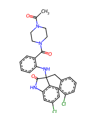 CC(=O)N1CCN(C(=O)c2ccccc2NC2(Cc3cccc(Cl)c3)C(=O)Nc3cc(Cl)ccc32)CC1